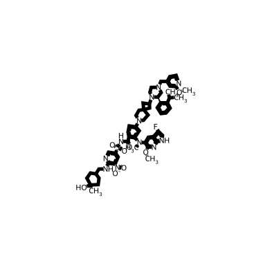 COc1cc(CN2CCN(C3CC4(CCN(c5ccc(C(=O)NS(=O)(=O)c6cnc(NCC7CCC(C)(O)CC7)c([N+](=O)[O-])c6)c(N(C)c6cc7c(F)c[nH]c7nc6OC)c5)CC4)C3)[C@H](c3ccccc3C(C)C)C2)ccn1